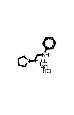 Cl.Cl.O.O.c1ccc(NCCN2CCCC2)cc1